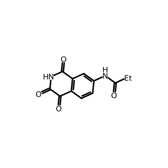 CCC(=O)Nc1ccc2c(c1)C(=O)NC(=O)C2=O